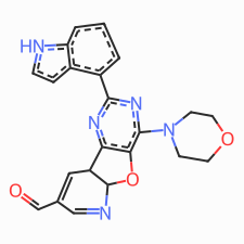 O=CC1=CC2c3nc(-c4cccc5[nH]ccc45)nc(N4CCOCC4)c3OC2N=C1